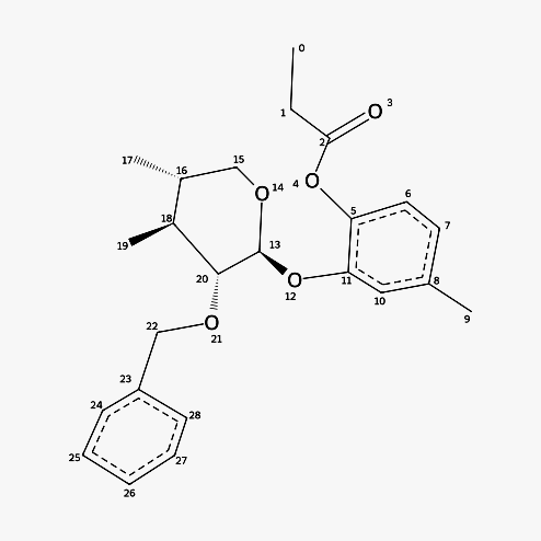 CCC(=O)Oc1ccc(C)cc1O[C@@H]1OC[C@@H](C)[C@H](C)[C@H]1OCc1ccccc1